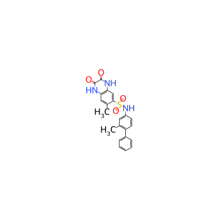 Cc1cc(NS(=O)(=O)c2cc3[nH]c(=O)c(=O)[nH]c3cc2C)ccc1-c1ccccc1